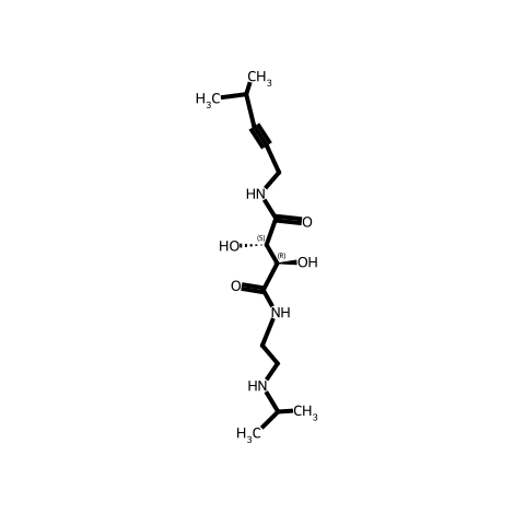 CC(C)C#CCNC(=O)[C@@H](O)[C@@H](O)C(=O)NCCNC(C)C